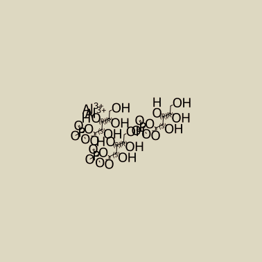 O=C(OP(=O)([O-])[O-])[C@@H](O)[C@H](O)[C@H](O)CO.O=C(OP(=O)([O-])[O-])[C@@H](O)[C@H](O)[C@H](O)CO.O=C(OP(=O)([O-])[O-])[C@@H](O)[C@H](O)[C@H](O)CO.[Al+3].[Al+3]